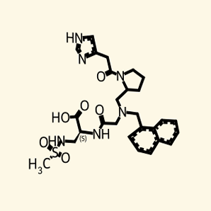 CS(=O)(=O)NC[C@H](NC(=O)CN(Cc1cccc2ccccc12)CC1CCCN1C(=O)Cc1c[nH]cn1)C(=O)O